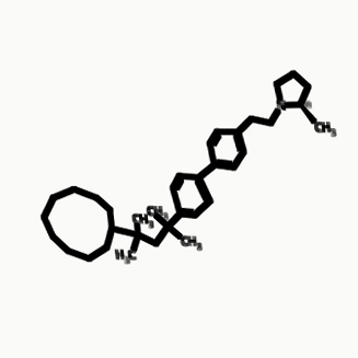 C[C@@H]1CCCN1CCc1ccc(-c2ccc(C(C)(C)CC(C)(C)C3CCCCCCCCC3)cc2)cc1